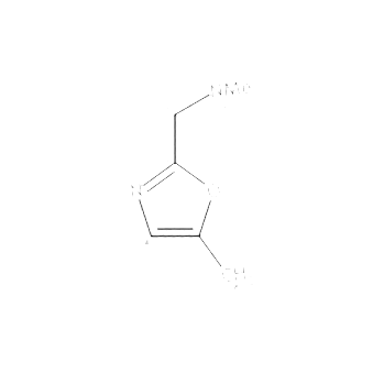 CNCc1ncc(C)o1